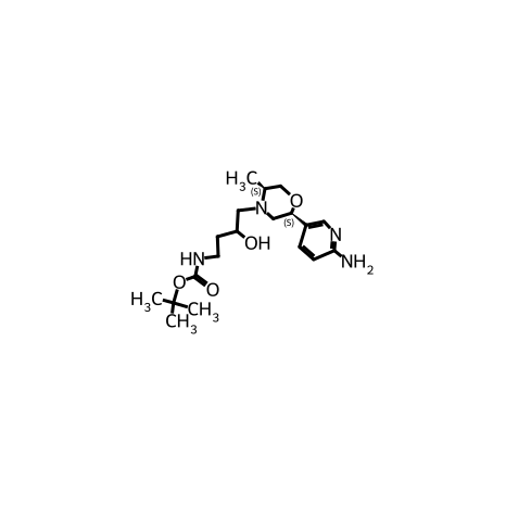 C[C@H]1CO[C@@H](c2ccc(N)nc2)CN1CC(O)CCNC(=O)OC(C)(C)C